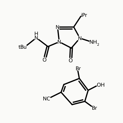 CC(C)c1nn(C(=O)NC(C)(C)C)c(=O)n1N.N#Cc1cc(Br)c(O)c(Br)c1